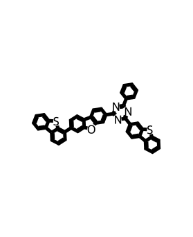 c1ccc(-c2nc(-c3ccc4c(c3)oc3cc(-c5cccc6c5sc5ccccc56)ccc34)nc(-c3ccc4c(c3)sc3ccccc34)n2)cc1